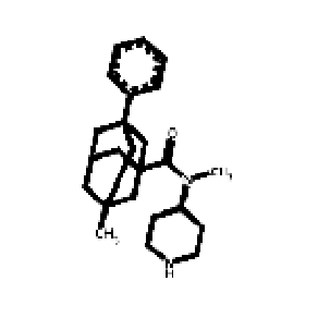 CN(C(=O)C12CC3CC(C)(C1)CC(c1ccccc1)(C3)C2)C1CCNCC1